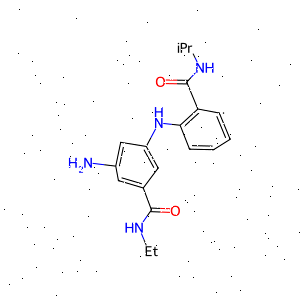 CCNC(=O)c1cc(N)cc(Nc2ccc[c]c2C(=O)NC(C)C)c1